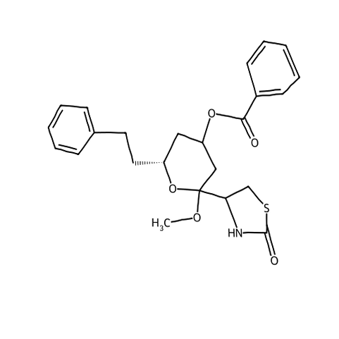 COC1(C2CSC(=O)N2)CC(OC(=O)c2ccccc2)C[C@@H](CCc2ccccc2)O1